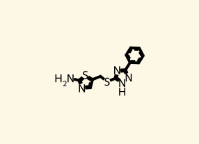 Nc1ncc(CSc2nc(-c3ccccc3)n[nH]2)s1